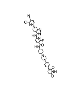 N#Cc1ccc(N2CCc3c(ncnc3Nc3ccc(C(=O)NC4CCC(N5CCN(c6ccc(N7CCC(=O)NC7=O)cc6)CC5)CC4)c(F)n3)C2)nc1Cl